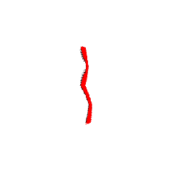 CCCCCCCCCCCCCCCCCCCCCCCCCCCCCCCCCCCCCCCCCCCCCCCCCCCCCCCCCCCC